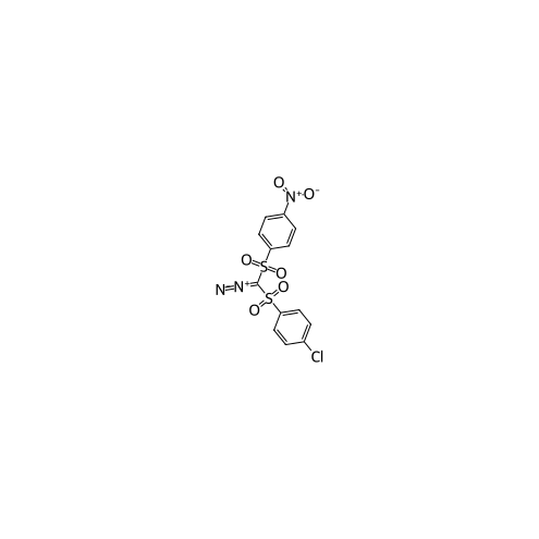 [N-]=[N+]=C(S(=O)(=O)c1ccc(Cl)cc1)S(=O)(=O)c1ccc([N+](=O)[O-])cc1